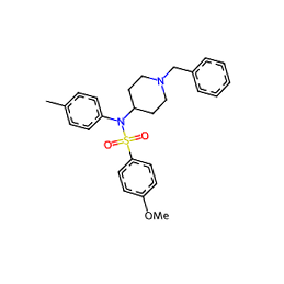 COc1ccc(S(=O)(=O)N(c2ccc(C)cc2)C2CCN(Cc3ccccc3)CC2)cc1